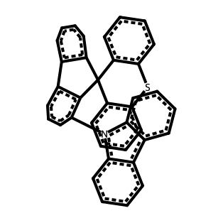 c1ccc2c(c1)Sc1ccccc1C21c2ccccc2-c2cccc(-n3c4ccccc4c4ccccc43)c21